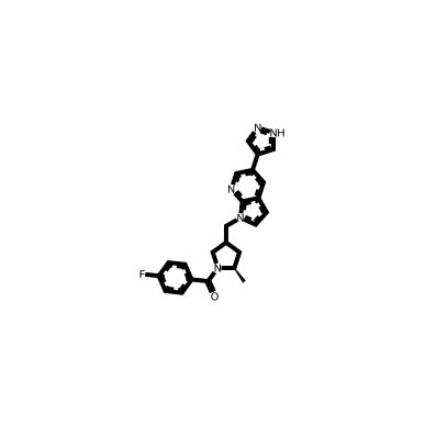 C[C@@H]1CC(Cn2ccc3cc(-c4cn[nH]c4)cnc32)CN1C(=O)c1ccc(F)cc1